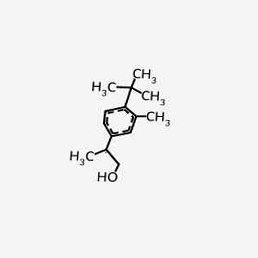 C[C](CO)c1ccc(C(C)(C)C)c(C)c1